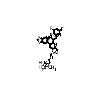 C[Si](C)(C)CCOCn1ncc2nc(C(Cc3cc(F)cc(F)c3)NC(=O)O)c(-c3ccc4scnc4c3)cc21